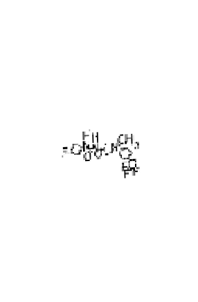 CC(c1ccc(OC(F)(F)F)cc1)N1CCC(ONC(=O)Nc2ccc(F)cc2)CC1